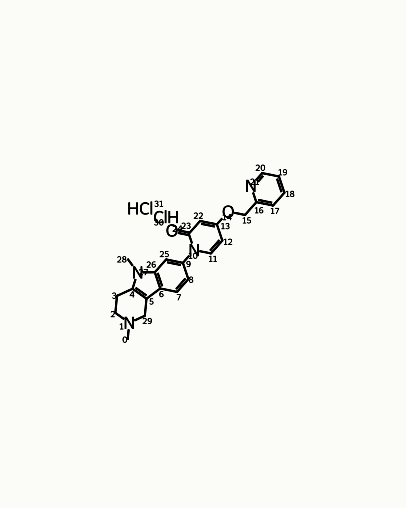 CN1CCc2c(c3ccc(-n4ccc(OCc5ccccn5)cc4=O)cc3n2C)C1.Cl.Cl